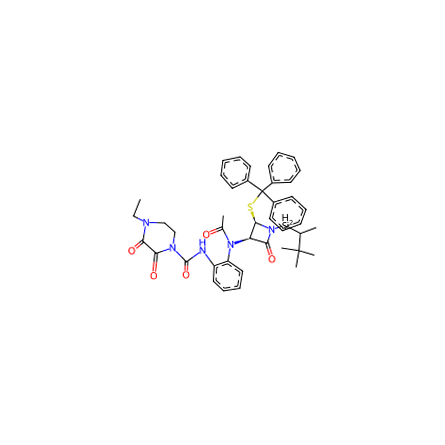 CCN1CCN(C(=O)Nc2ccccc2N(C(C)=O)[C@@H]2C(=O)N([SiH2]C(C)C(C)(C)C)[C@@H]2SC(c2ccccc2)(c2ccccc2)c2ccccc2)C(=O)C1=O